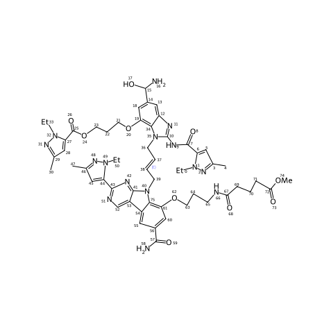 CCn1nc(C)cc1C(=O)Nc1nc2cc(C(N)O)cc(OCCCOC(=O)c3cc(C)nn3CC)c2n1C/C=C/Cn1c2nc(-c3cc(C)nn3CC)ncc2c2cc(C(N)=O)cc(OCCCNC(=O)CCCC(=O)OC)c21